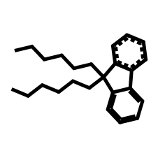 CCCCCCC1(CCCCCC)C2=C=C=CC=C2c2ccccc21